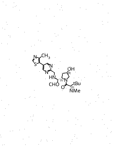 CN[C@H](C(=O)N1C[C@H](O)C[C@H]1C(C=O)NCc1ncc(-c2scnc2C)cn1)C(C)(C)C